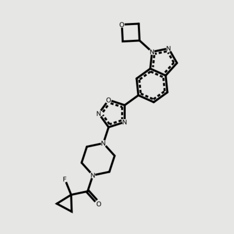 O=C(N1CCN(c2noc(-c3ccc4cnn(C5COC5)c4c3)n2)CC1)C1(F)CC1